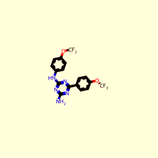 Nc1nc(Nc2ccc(OC(F)(F)F)cc2)nc(-c2ccc(OC(F)(F)F)cc2)n1